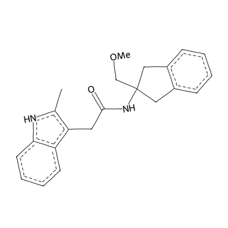 COCC1(NC(=O)Cc2c(C)[nH]c3ccccc23)Cc2ccccc2C1